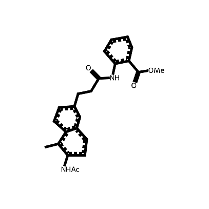 COC(=O)c1ccccc1NC(=O)CCc1ccc2c(C)c(NC(C)=O)ccc2c1